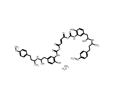 COc1ccc(CCC(C)NC(O)Cc2ccc(O)c(NC(=O)OC(=O)/C=C/C(=O)OC(=O)Nc3cc(CC(O)NC(C)CCc4ccc(OC)cc4)ccc3O)c2)cc1.O.O